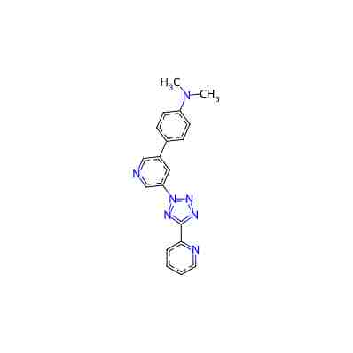 CN(C)c1ccc(-c2cncc(-n3nnc(-c4ccccn4)n3)c2)cc1